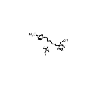 Cn1cc[n+](CCCCCCC2(CO)C=NN=N2)c1.F[B-](F)(F)F